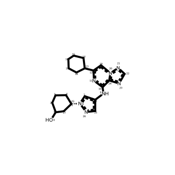 OC1CCC[C@H](n2cc(Nc3nc(C4CCCCC4)cn4ncnc34)cn2)C1